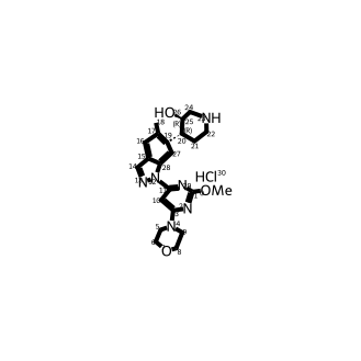 COc1nc(N2CCOCC2)cc(-n2ncc3cc(C)c([C@H]4CCNC[C@@H]4O)cc32)n1.Cl